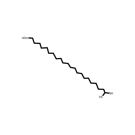 CCCCCCCCCCCCCCCCCCCCCCCCCCCCCCCC(S)S